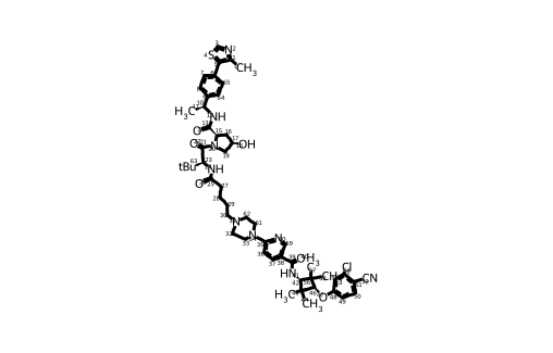 Cc1ncsc1-c1ccc([C@H](C)NC(=O)[C@H]2C[C@@H](O)CN2C(=O)[C@@H](NC(=O)CCCCN2CCN(c3ccc(C(=O)N[C@H]4C(C)(C)[C@H](Oc5ccc(C#N)c(Cl)c5)C4(C)C)cn3)CC2)C(C)(C)C)cc1